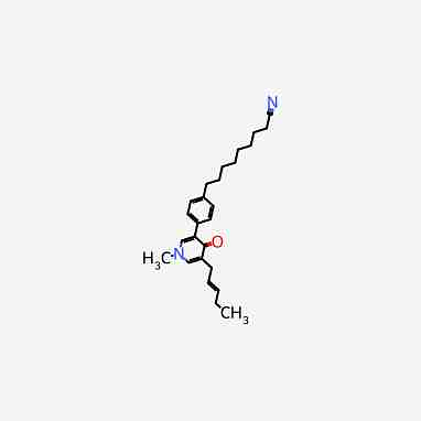 CC/C=C/Cc1cn(C)cc(-c2ccc(CCCCCCCCC#N)cc2)c1=O